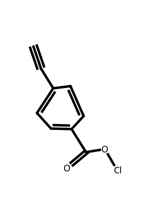 C#Cc1ccc(C(=O)OCl)cc1